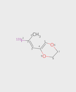 C/C([131I])=C\C1=COCCO1